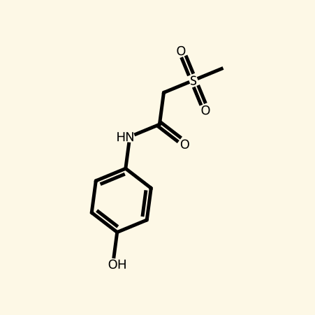 CS(=O)(=O)CC(=O)Nc1ccc(O)cc1